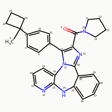 CC1(c2ccc(-c3c(C(=O)N4CCCC4)nc4n3-c3cccnc3Nc3ccccc3-4)cc2)CCC1